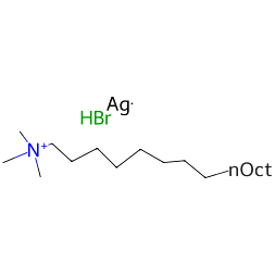 Br.CCCCCCCCCCCCCCCC[N+](C)(C)C.[Ag]